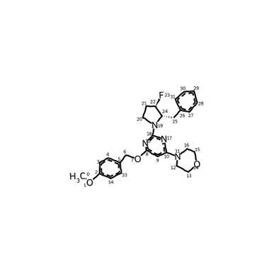 COc1ccc(COc2cc(N3CCOCC3)nc(N3CC[C@@H](F)[C@@H]3Cc3ccccc3)n2)cc1